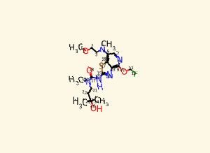 COCCN(C)c1cnc(OCF)c2nc(NC(=O)N(C)CCC(C)(C)O)sc12